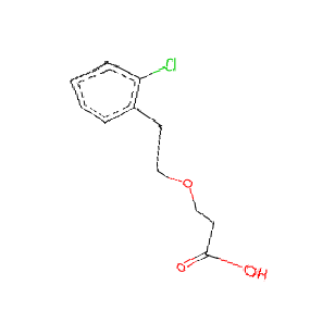 O=C(O)CCOCCc1ccccc1Cl